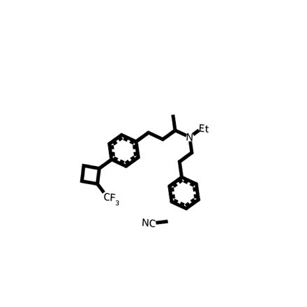 CC#N.CCN(CCc1ccccc1)C(C)CCc1ccc(C2CCC2C(F)(F)F)cc1